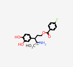 N[C@H](C(=O)O)C(CCOC(=O)c1ccc(F)cc1)c1ccc(O)c(O)c1